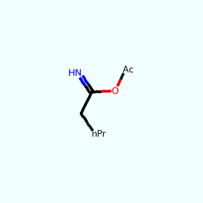 CCCCC(=N)OC(C)=O